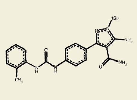 Cc1ccccc1NC(=O)Nc1ccc(-c2nn(C(C)(C)C)c(N)c2C(N)=O)cc1